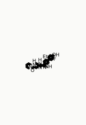 CCc1cc(O)c(F)cc1-c1ccc2c(-c3nc4c([nH]3)CNC(C(=O)N3CCCCC3)C4)n[nH]c2c1